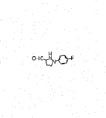 O=CC1CCN(c2ccc(F)cc2)N1